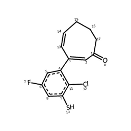 O=C1/C=C(c2cc(F)cc(S)c2Cl)\C=C/CCC1